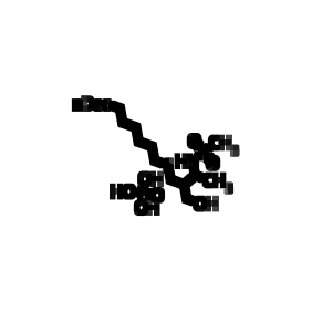 CCCCCCCCCCCCCCCCSCC(CO)C(C)NS(C)(=O)=O.O=P(O)(O)O